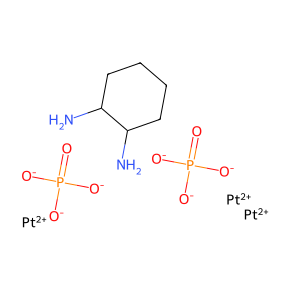 NC1CCCCC1N.O=P([O-])([O-])[O-].O=P([O-])([O-])[O-].[Pt+2].[Pt+2].[Pt+2]